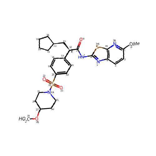 COc1ccc2nc(NC(=O)[C@H](CC3CCCC3)c3ccc(S(=O)(=O)N4CCC(OC(=O)O)CC4)cc3)sc2n1